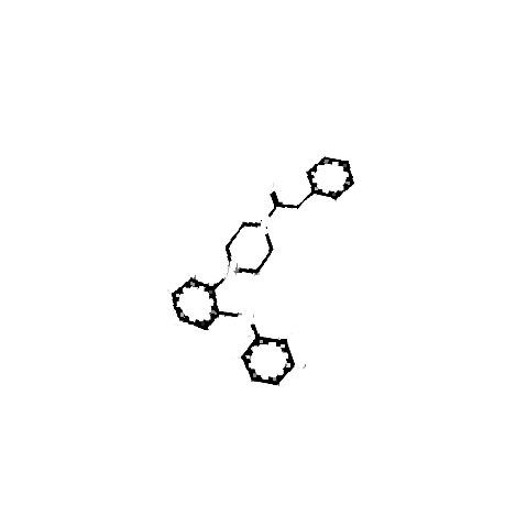 O=C(Cc1ccccc1)N1CCN(c2ccccc2Oc2ccccc2)CC1